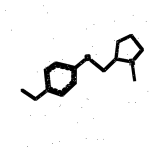 CCc1ccc(OCC2CCCN2C)cc1